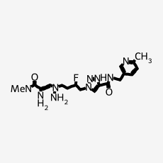 CNC(=O)/C(N)=C/N(N)CCC(F)Cn1cc(C(=O)NCc2ccc(C)nc2)nn1